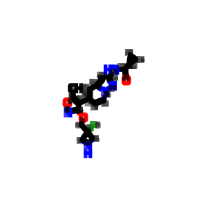 Cc1onc(OCC2(F)CNC2)c1-c1ccn2nc(NC(=O)C3CC3)cc2c1